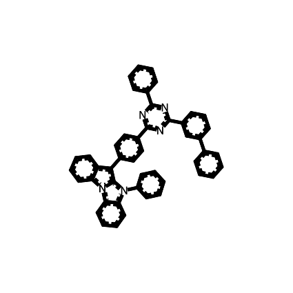 c1ccc(-c2cccc(-c3nc(-c4ccccc4)nc(-c4ccc(-c5c6ccccc6n6c7ccccc7n(-c7ccccc7)c56)cc4)n3)c2)cc1